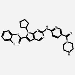 O=C(Nc1ccccc1Cl)c1cc2cnc(Nc3ccc(C(=O)N4CCNCC4)cn3)nc2n1C1CCCC1